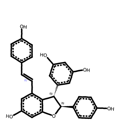 Oc1ccc(/C=C/c2cc(O)cc3c2[C@H](c2cc(O)cc(O)c2)[C@@H](c2ccc(O)cc2)O3)cc1